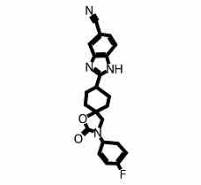 N#Cc1ccc2[nH]c(C3CCC4(CC3)CN(C3C=CC(F)=CC3)C(=O)O4)nc2c1